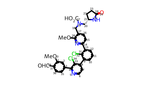 COc1cc(-c2nccc(-c3cccc(-c4ccc(CN(C[C@@H]5CCC(=O)N5)C(=O)O)c(OC)n4)c3Cl)c2Cl)ccc1C=O